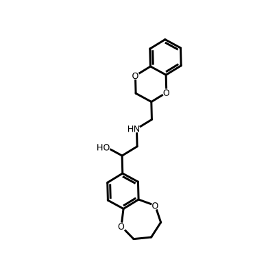 OC(CNCC1COc2ccccc2O1)c1ccc2c(c1)OCCCO2